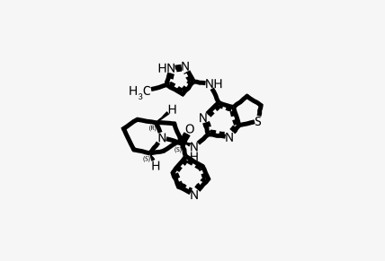 Cc1cc(Nc2nc(N[C@@H]3C[C@H]4CCC[C@@H](C3)N4C(=O)c3ccncc3)nc3c2CCS3)n[nH]1